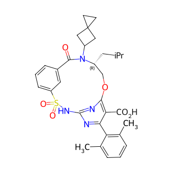 Cc1cccc(C)c1-c1nc2nc(c1C(=O)O)OC[C@@H](CC(C)C)N(C1CC3(CC3)C1)C(=O)c1cccc(c1)S(=O)(=O)N2